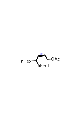 CCCCCCC(/C=C\COC(C)=O)CCCCC